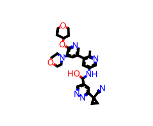 Cc1ncc(NC(O)c2cnnc(C3(C#N)CC3)c2)cc1-c1cnc(OC2CCOCC2)c(N2CCOCC2)c1